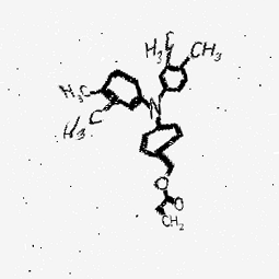 C=CC(=O)OCc1ccc(N(c2ccc(C)c(C)c2)c2ccc(C)c(C)c2)cc1